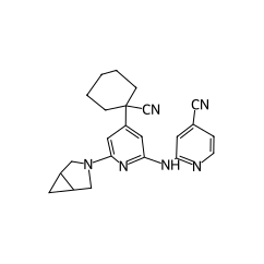 N#Cc1ccnc(Nc2cc(C3(C#N)CCCCC3)cc(N3CC4CC4C3)n2)c1